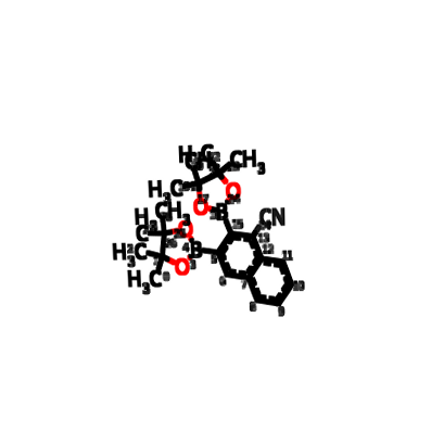 CC1(C)OB(c2cc3ccccc3c(C#N)c2B2OC(C)(C)C(C)(C)O2)OC1(C)C